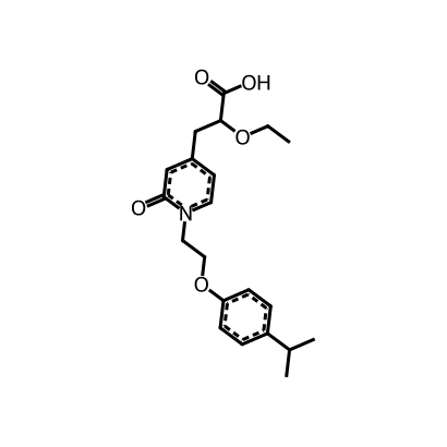 CCOC(Cc1ccn(CCOc2ccc(C(C)C)cc2)c(=O)c1)C(=O)O